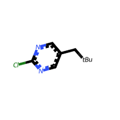 CC(C)(C)Cc1cnc(Cl)nc1